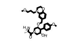 COCCCN1CCOc2ccc(CO[C@H]3CN(C(=O)[C@H](C)N)C[C@@H](O)C3c3ccc(OC)cc3)cc21